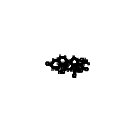 CC1CC2C3CCC4=CC(=O)C=CC4(C)C3(F)C(O)CC2(C)C1(C(=O)CCl)C(C)C(=O)O